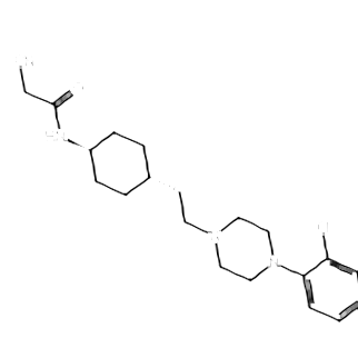 N#CCC(=O)N[C@H]1CC[C@H](CCN2CCN(c3ccccc3Cl)CC2)CC1